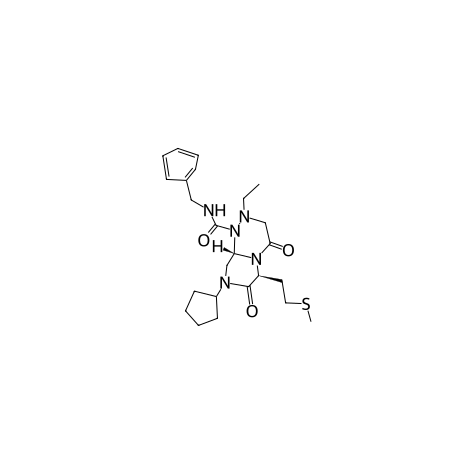 CCN1CC(=O)N2[C@@H](CCSC)C(=O)N(C3CCCC3)C[C@@H]2N1C(=O)NCc1ccccc1